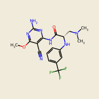 COc1nc(N)nc(NC(=O)[C@H](CN(C)C)Nc2cccc(C(F)(F)F)c2)c1C#N